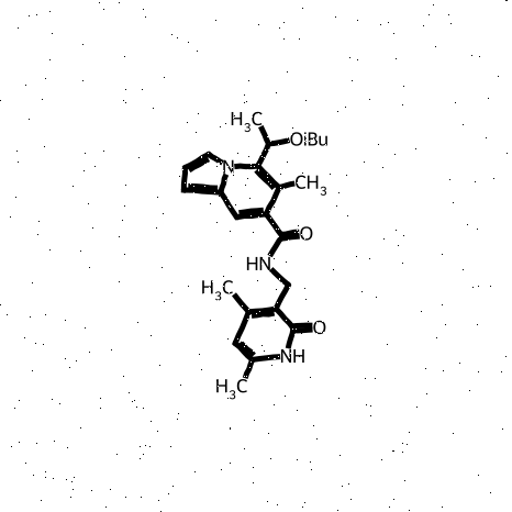 Cc1cc(C)c(CNC(=O)c2cc3cccn3c(C(C)OCC(C)C)c2C)c(=O)[nH]1